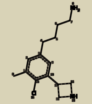 Cc1cc(CCCCN)cc(C2CNC2)c1Cl